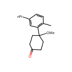 CCCc1ccc(C)c(C2(OC)CCC(=O)CC2)c1